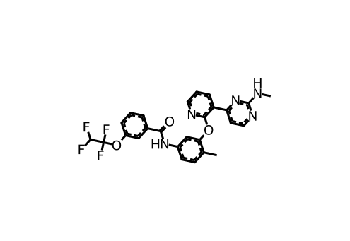 CNc1nccc(-c2cccnc2Oc2cc(NC(=O)c3cccc(OC(F)(F)C(F)F)c3)ccc2C)n1